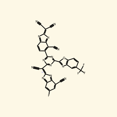 N#CC(C#N)=C1N=c2ccc(-c3nc(/C(C#N)=C4/N=c5cc(F)cc(C#N)c5=N4)nc(-c4nc5cc(C(F)(F)F)ccc5o4)n3)c(C#N)c2=N1